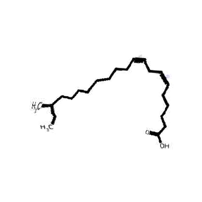 CCC(C)CCCCCCCC/C=C\C/C=C\CCCCC(=O)O